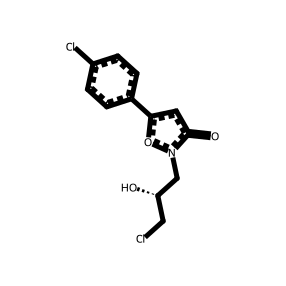 O=c1cc(-c2ccc(Cl)cc2)on1C[C@@H](O)CCl